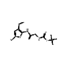 CCc1cc(Br)sc1NC(=O)CNC(=O)OC(C)(C)C